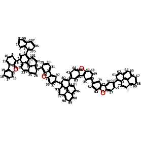 c1ccc2c(-c3cc(-c4cccc5c4oc4ccccc45)c4ccc5ccc(-c6cccc7c6oc6ccc(-c8cc(-c9ccc%10oc%11ccc(-c%12ccc%13oc%14ccc(-c%15ccc%16ccc%17cccc%18ccc%15c%16c%17%18)cc%14c%13c%12)cc%11c%10c9)c9ccc%10cccc%11ccc8c9c%10%11)cc67)c6ccc3c4c56)cccc2c1